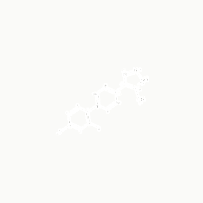 Cc1cc(F)ccc1-c1ccc(-c2nn[nH]c2C#N)cc1